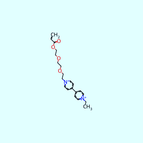 C=CC(=O)OCCOCCOCC[n+]1ccc(-c2cc[n+](CC)cc2)cc1